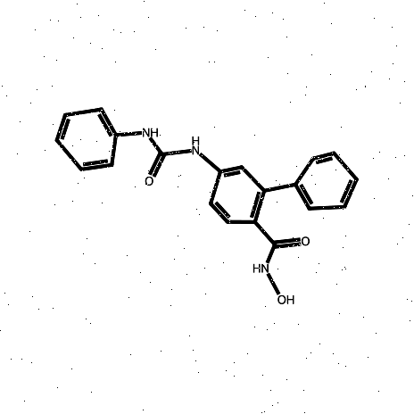 O=C(Nc1ccccc1)Nc1ccc(C(=O)NO)c(-c2ccccc2)c1